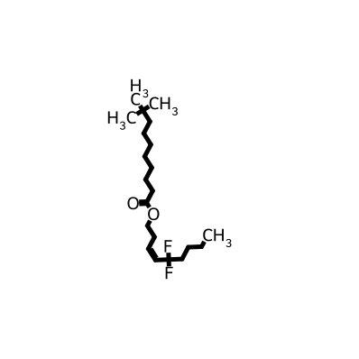 CCCCC(F)(F)/C=C\CCOC(=O)CCCCCCCC(C)(C)C